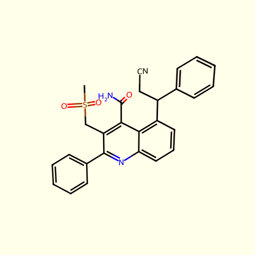 CS(=O)(=O)Cc1c(-c2ccccc2)nc2cccc(C(CC#N)c3ccccc3)c2c1C(N)=O